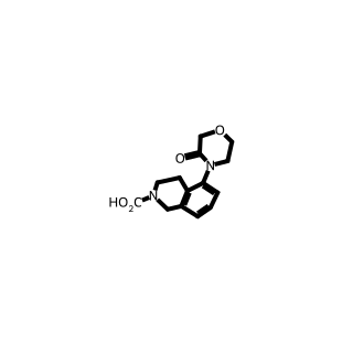 O=C(O)N1CCc2c(cccc2N2CCOCC2=O)C1